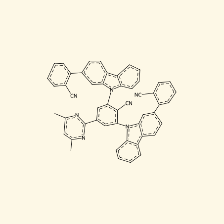 Cc1cc(C)nc(-c2cc(-n3c4ccccc4c4ccc(-c5ccccc5C#N)cc43)c(C#N)c(-n3c4ccccc4c4ccc(-c5ccccc5C#N)cc43)c2)n1